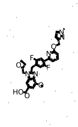 COc1cc(C(=O)O)cc2c1nc(Cc1cc(F)c(-c3cccc(OCc4ccn(C)n4)n3)cc1F)n2CC1CCO1